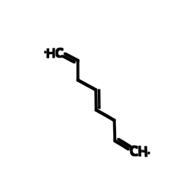 [CH]=CCC=CCC=[CH]